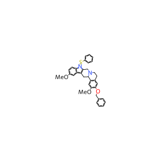 COc1ccc2c(c1)c1c(n2Sc2ccccc2)CN2CCc3cc(OCc4ccccc4)c(OC)cc3C2C1